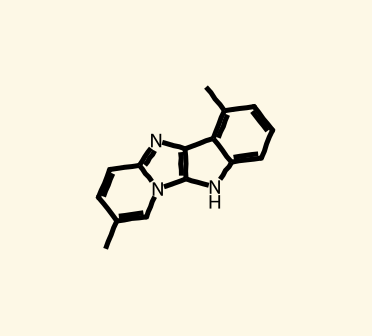 Cc1ccc2nc3c4c(C)cccc4[nH]c3n2c1